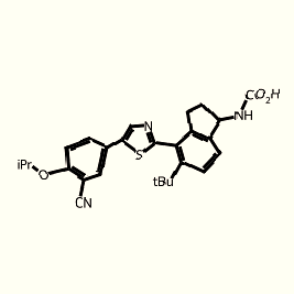 CC(C)Oc1ccc(-c2cnc(-c3c(C(C)(C)C)ccc4c3CCC4NC(=O)O)s2)cc1C#N